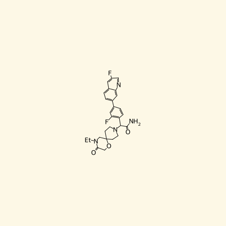 CCN1CC2(CCN(C(C(N)=O)c3ccc(-c4ccc5cc(F)cnc5c4)cc3F)CC2)OCC1=O